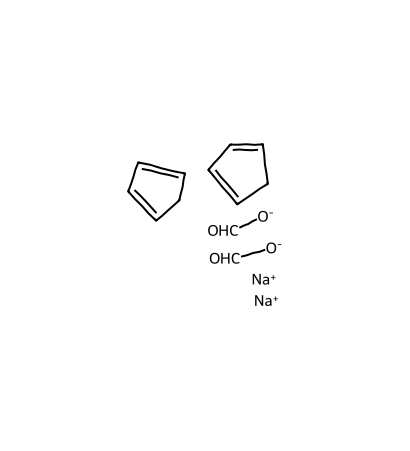 C1=CCC=C1.C1=CCC=C1.O=C[O-].O=C[O-].[Na+].[Na+]